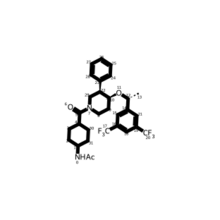 CC(=O)NC1CCC(C(=O)N2CC[C@H](O[C@H](C)c3cc(C(F)(F)F)cc(C(F)(F)F)c3)[C@H](c3ccccc3)C2)CC1